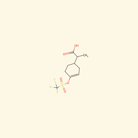 CC(C(=O)O)C1CC=C(OS(=O)(=O)C(F)(F)F)CC1